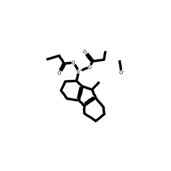 CCC(=O)[O][Ti+]([O]C(=O)CC)[CH]1CCCC2=C1C(C)C1=C2CCCC1.C[O-]